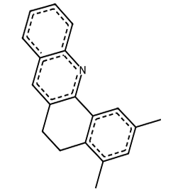 Cc1cc(C)c2c(c1)-c1nc3ccccc3cc1CC2